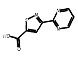 O=C(O)c1cc(-c2ncccn2)ns1